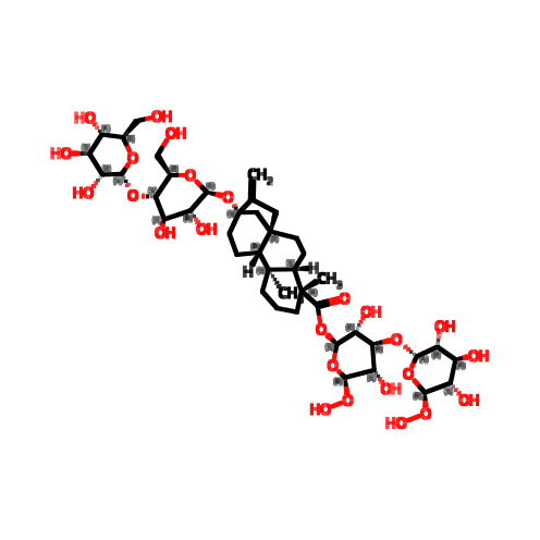 C=C1C[C@@]23CC[C@H]4[C@@](C)(CCC[C@@]4(C)C(=O)O[C@@H]4O[C@H](OO)[C@@H](O)[C@H](O[C@H]5O[C@H](OO)[C@@H](O)[C@H](O)[C@H]5O)[C@H]4O)[C@@H]2CC[C@]1(O[C@@H]1O[C@H](CO)[C@@H](O[C@H]2O[C@H](CO)[C@@H](O)[C@H](O)[C@H]2O)[C@H](O)[C@H]1O)C3